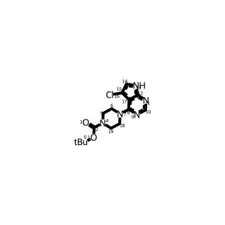 CC(C)(C)OC(=O)N1CCN(c2ncnc3[nH]cc(Cl)c23)CC1